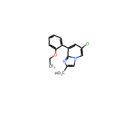 O=C(O)c1cn2cc(Cl)cc(-c3ccccc3OCC(F)(F)F)c2n1